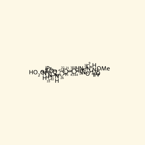 COC(=O)NC(C(=O)N1CCCC1c1ncc(-c2ccc(-c3ccc4c(c3)CC(NC(=O)C3CCCN3C(=O)[C@@H](NC(=O)O)C(C)C)C4)cc2)[nH]1)C(C)C